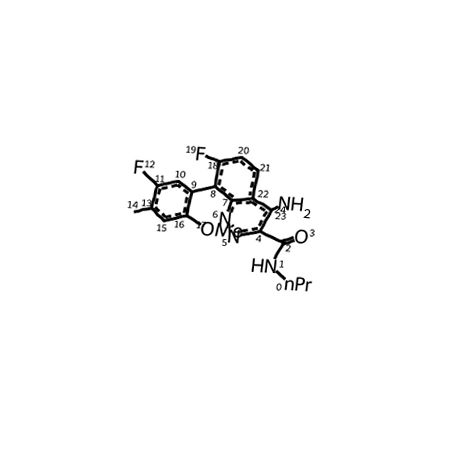 CCCNC(=O)c1nnc2c(-c3cc(F)c(C)cc3OC)c(F)ccc2c1N